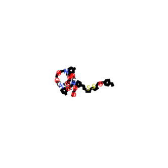 C=Cc1ccc(COCc2ccc(-c3ccc(/C=C/c4ccc(N5CCOc6cc(C)ccc6N6CCOCCOCCN(CCOCCOCC6)c6ccc(C)cc6OCC5)c(OCCOC)c4)s3)s2)cc1